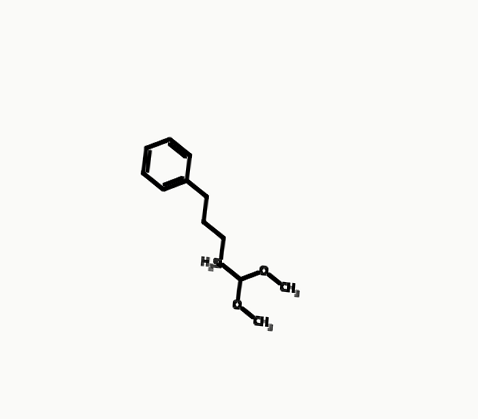 COC(OC)[SiH2]CCCc1ccccc1